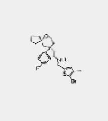 Cc1cc(CNCC[C@@]2(c3ccc(F)cc3)CCOC3(CCCC3)C2)sc1Br